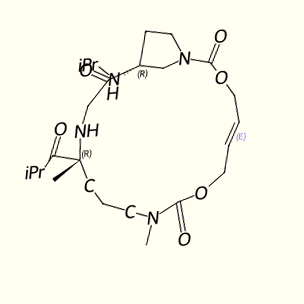 CC(C)N[C@]12CCN(C1)C(=O)OC/C=C/COC(=O)N(C)CCC[C@](C)(C(=O)C(C)C)NCC2=O